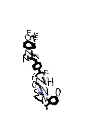 COc1ccc(C(C)C)c(N2/C(=N/C(=O)NC(F)C(F)c3ccc(-c4ncn(-c5ccc(OC(F)(F)F)cc5)n4)cc3)SCCC2C)c1